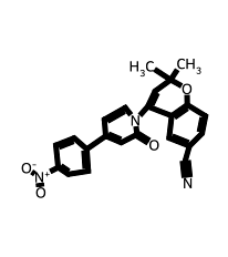 CC1(C)C=C(n2ccc(-c3ccc([N+](=O)[O-])cc3)cc2=O)c2cc(C#N)ccc2O1